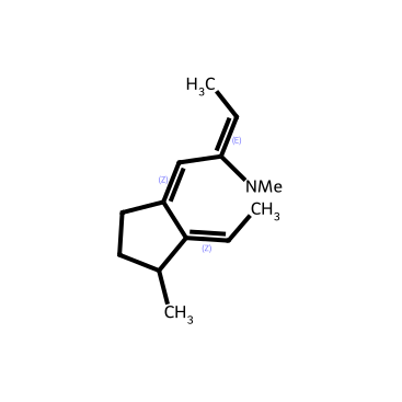 C\C=C1/C(=C\C(=C/C)NC)CCC1C